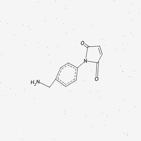 NCc1ccc(N2C(=O)C=CC2=O)cc1